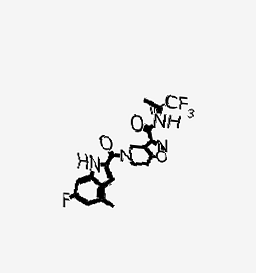 Cc1cc(F)cc2[nH]c(C(=O)N3CCc4onc(C(=O)N[C@H](C)C(F)(F)F)c4C3)cc12